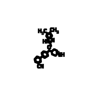 Cc1cc2nc(COC(c3ccc(-c4cccc(C#N)c4)cc3)C3CCN(S)CC3)[nH]c2cc1C